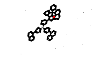 c1ccc(C2(c3cccc4ccccc34)c3ccccc3-c3c(-c4cccc(N(c5ccc(-c6cccc7ccccc67)cc5)c5ccc(-c6cccc7ccccc67)cc5)c4)cccc32)cc1